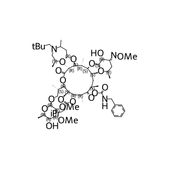 CON=C1C[C@@H](C)O[C@@H](O[C@@H]2[C@@H](C)[C@H](O[C@H]3CC(C)N(CC(C)(C)C)C[C@H](C)O3)[C@@H](C)C(=O)O[C@H]([C@@H](C)CO[C@@H]3O[C@H](C)[C@@H](O)[C@@H](OC)[C@H]3OC)[C@H](C)[C@@H](OC(=O)CC(C)C)[C@@H](C)C(=O)[C@@](C)(OC(=O)NCc3ccccc3)C[C@@H]2C)[C@@H]1O